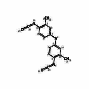 Cc1cc(Sc2ccc(N=C=O)c(C)c2)ccc1N=C=O